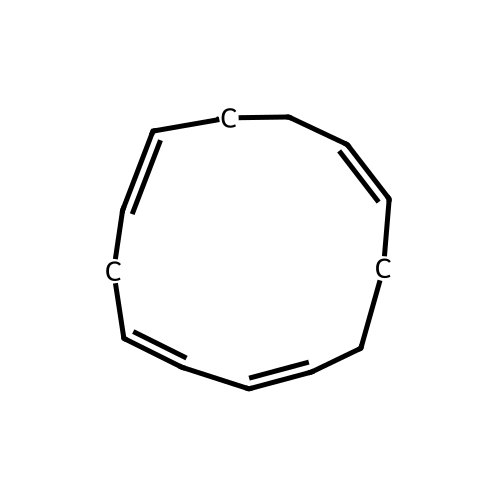 [CH]1C=CCC=CC=CCCC=CC1